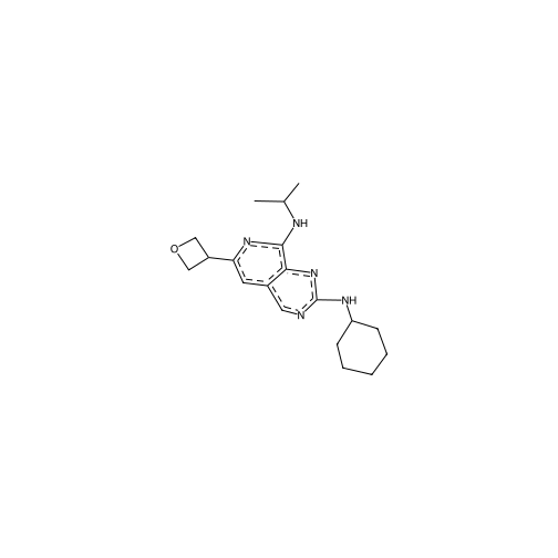 CC(C)Nc1nc(C2COC2)cc2cnc(NC3CCCCC3)nc12